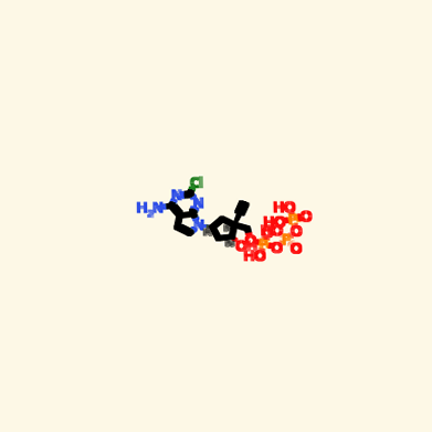 C#C[C@]1(COP(=O)(O)OP(=O)(O)OP(=O)(O)O)C[C@@H](n2ccc3c(N)nc(Cl)nc32)C[C@@H]1O